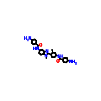 Cc1cc(NC(=O)c2ccc(N)cc2)ccc1-c1nc2cc(NC(=O)c3ccc(N)cc3)ccc2n1C